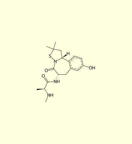 CN[C@@H](C)C(=O)N[C@H]1Cc2cc(O)ccc2[C@H]2CC(C)(C)SN2C1=O